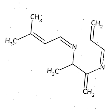 C=C/C=N\C(=C)C(C)/N=C\C=C(C)C